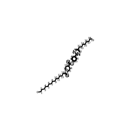 CCCCCCCCCCCCCCCC(=O)N1CCC(C(=O)Oc2ccc(-c3ncc(CCCCCCCC)cn3)cc2)CC1